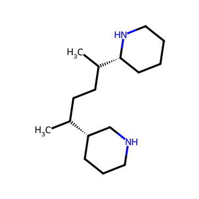 CC(CCC(C)[C@H]1CCCCN1)[C@H]1CCCNC1